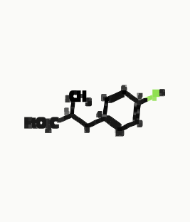 CCOC(=O)C(C)Cc1ccc(F)cc1